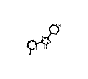 Cc1cccc(-c2nc(C3CCNCC3)n[nH]2)n1